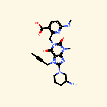 CC#CCn1c(N2CCCC(N)C2)nc2c1c(=O)n(Cc1nc(NC)ccc1C(=O)O)c(=O)n2C